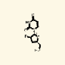 O=c1ccn([C@H]2O[C@@H](CO)CC2F)c(=O)[nH]1